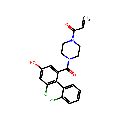 C=CC(=O)N1CCN(C(=O)c2cc(O)cc(Cl)c2-c2ccccc2Cl)CC1